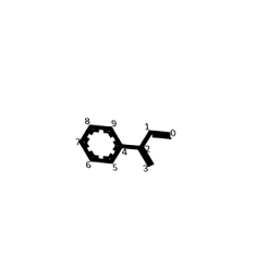 [CH]=CC(=C)c1ccccc1